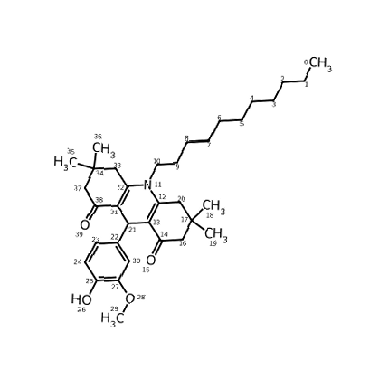 CCCCCCCCCCCN1C2=C(C(=O)CC(C)(C)C2)C(c2ccc(O)c(OC)c2)C2=C1CC(C)(C)CC2=O